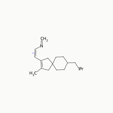 C=N/C=C\C1=C(C)CC2(CCC(CC(C)C)CC2)C1